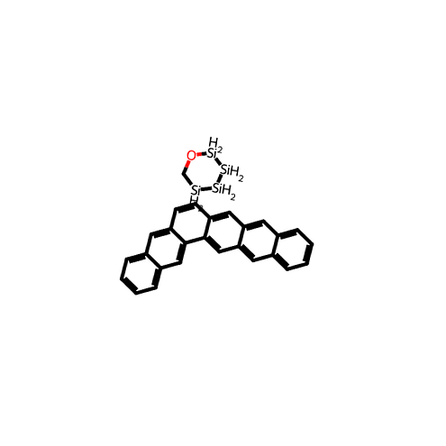 C1O[SiH2][SiH2][SiH2][SiH2]1.c1ccc2cc3cc4c(ccc5cc6ccccc6cc54)cc3cc2c1